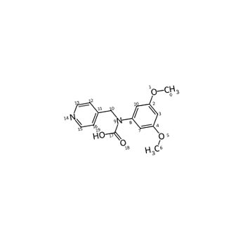 COc1cc(OC)cc(N(Cc2ccncc2)C(=O)O)c1